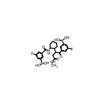 CNC(=O)CC(C(=O)c1cc(F)cc(B(O)O)c1)C1CCCCC1NC(=O)c1cc(F)cc(B(O)O)c1